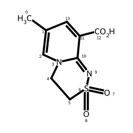 CC1=CN2CCS(=O)(=O)N=C2C(C(=O)O)=C1